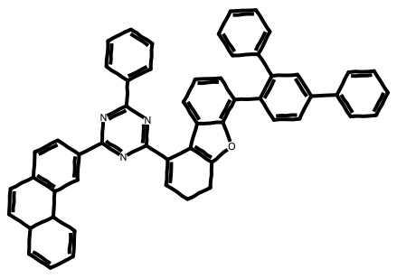 C1=CC2C=Cc3ccc(-c4nc(C5=CCCc6oc7c(-c8ccc(-c9ccccc9)cc8-c8ccccc8)cccc7c65)nc(-c5ccccc5)n4)cc3C2C=C1